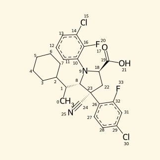 CC(C1CCCCC1)[C@@H]1N(c2cccc(Cl)c2F)[C@@H](C(=O)O)C[C@@]1(C#N)c1ccc(Cl)cc1F